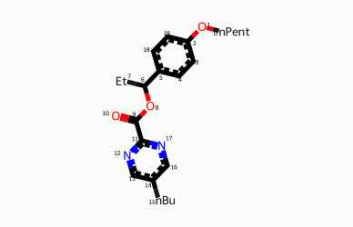 CCCCCOc1ccc(C(CC)OC(=O)c2ncc(CCCC)cn2)cc1